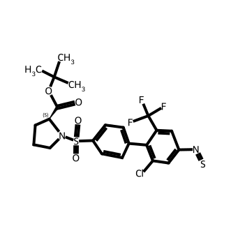 CC(C)(C)OC(=O)[C@@H]1CCCN1S(=O)(=O)c1ccc(-c2c(Cl)cc(N=S)cc2C(F)(F)F)cc1